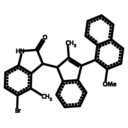 COc1ccc2ccccc2c1C1=C(C)C(C2C(=O)Nc3ccc(Br)c(C)c32)c2ccccc21